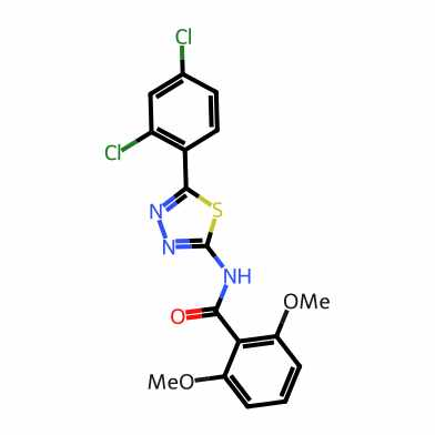 COc1cccc(OC)c1C(=O)Nc1nnc(-c2ccc(Cl)cc2Cl)s1